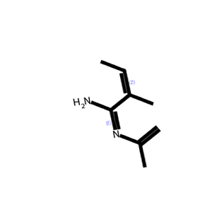 C=C(C)/N=C(N)\C(C)=C/C